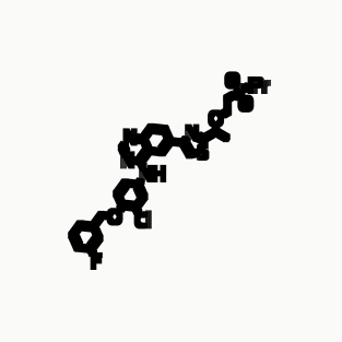 CC(OCCS(=O)(=O)C(C)C)c1nc(-c2ccc3ncnc(Nc4ccc(OCc5cccc(F)c5)c(Cl)c4)c3c2)cs1